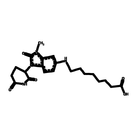 Cn1c(=O)n(C2CCC(=O)NC2=O)c2ccc(NCCCCCCCC(=O)O)cc21